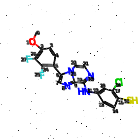 COc1ccc(-c2cnc3c(Nc4ccc(S)c(Cl)c4)nccn23)c(F)c1F